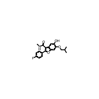 CNC(=O)c1c(-c2ccc(F)cc2)oc2cc(OCC(C)C)c(O)cc12